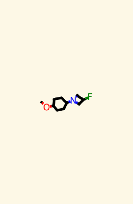 COC1CCC(N2CC(F)C2)CC1